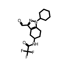 O=Cc1nn(C2CCCCC2)c2c1CC(NC(=O)C(F)(F)F)CC2